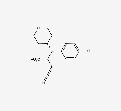 [N-]=[N+]=N[C@H](C(=O)O)[C@@H](c1ccc(Cl)cc1)C1CCOCC1